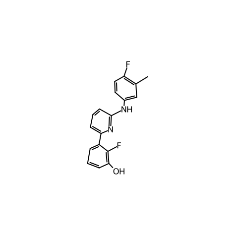 Cc1cc(Nc2cccc(-c3cccc(O)c3F)n2)ccc1F